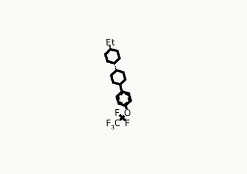 CC[C@H]1CC[C@H](C2CCC(c3ccc(OC(F)(F)C(F)(F)F)cc3)CC2)CC1